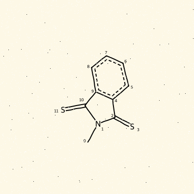 CN1C(=S)c2ccccc2C1=S